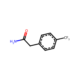 NC(=O)[CH]c1ccc(C(F)(F)F)cc1